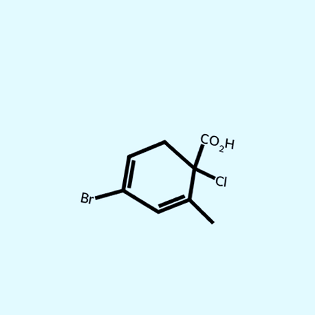 CC1=CC(Br)=CCC1(Cl)C(=O)O